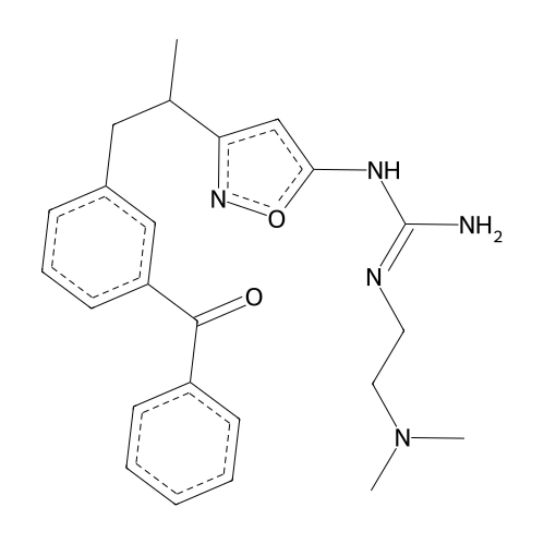 CC(Cc1cccc(C(=O)c2ccccc2)c1)c1cc(NC(N)=NCCN(C)C)on1